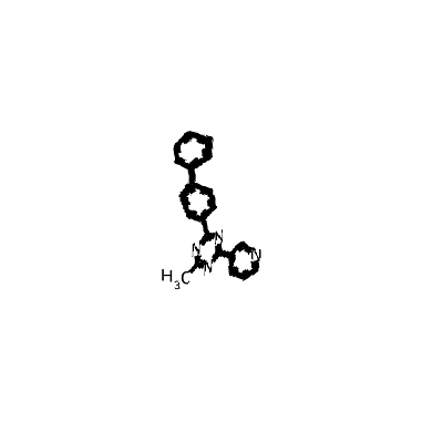 Cc1nc(-c2ccc(-c3ccccc3)cc2)nc(-c2cccnc2)n1